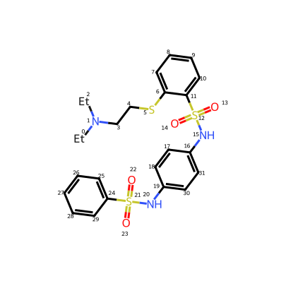 CCN(CC)CCSc1ccccc1S(=O)(=O)Nc1ccc(NS(=O)(=O)c2ccccc2)cc1